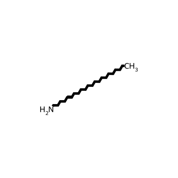 CCCCCCCCCCCCCCCC/C=C/CCCCN